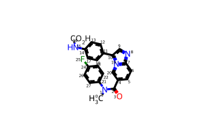 CN(C(=O)c1ccc2ncc(-c3ccc(NC(=O)O)cc3)n2c1)c1ccc(F)cc1